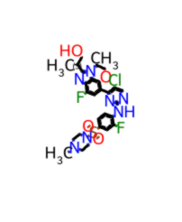 CC1COc2c(-c3nc(Nc4ccc(S(=O)(=O)N5CCN(C)CC5)cc4F)ncc3Cl)cc(F)c3nc([C@H](C)CO)n1c23